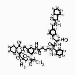 C=CC(=O)OCC(C)(C)C(=O)C(=O)N1CCCC[C@H]1C(=O)OCc1cccc(NC(=O)CCCN[C@H](C(=O)N[C@H](C=O)Cc2ccc(CNC(=O)Cc3ccccc3)cc2)c2ccccc2)c1